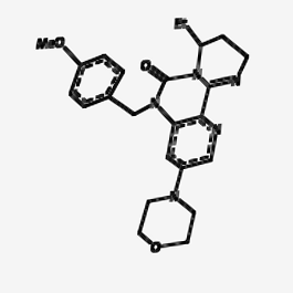 CCC1CCN=C2c3ncc(N4CCOCC4)cc3N(Cc3ccc(OC)cc3)C(=O)N21